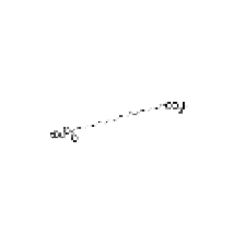 CC(C)(C)OC(=O)CCCCCCCCCCCCCCCCCC(=O)O